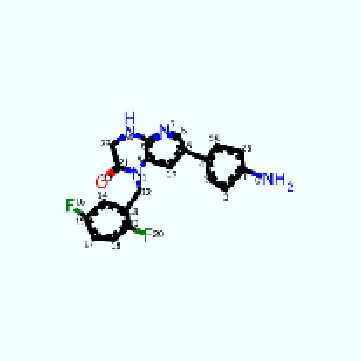 Nc1ccc(-c2cnc3c(c2)N(Cc2cc(F)ccc2F)C(=O)CN3)cc1